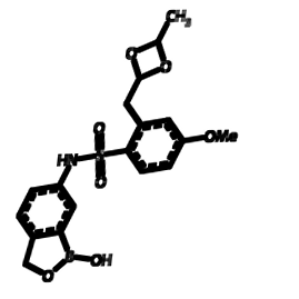 COc1ccc(S(=O)(=O)Nc2ccc3c(c2)B(O)OC3)c(CC2OC(C)O2)c1